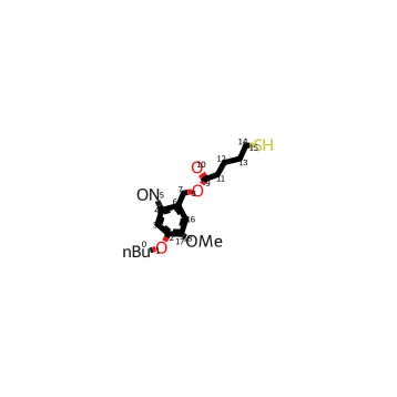 CCCCOc1cc(N=O)c(COC(=O)CCCCS)cc1OC